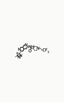 Cc1nnc(-c2cc3cc(NC(=O)C4CCN(CCC(F)(F)F)CC4)ncc3cn2)s1